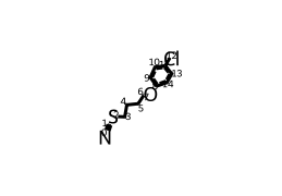 N#CSCCCCOc1ccc(Cl)cc1